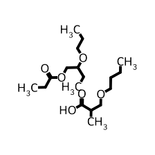 CCCCOCC(C)C(=O)O.CCCOC(CC)COC(=O)CC